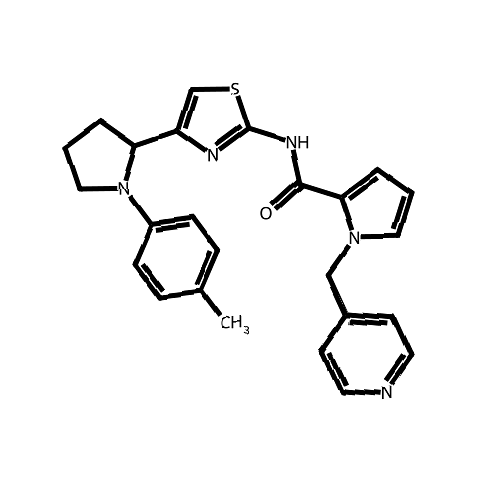 Cc1ccc(N2CCCC2c2csc(NC(=O)c3cccn3Cc3ccncc3)n2)cc1